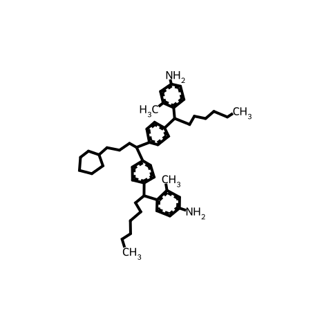 CCCCCCC(c1ccc(C(CCCC2CCCCC2)c2ccc(C(CCCCCC)c3ccc(N)cc3C)cc2)cc1)c1ccc(N)cc1C